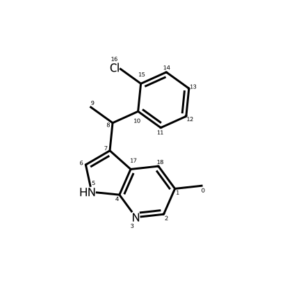 Cc1cnc2[nH]cc(C(C)c3ccccc3Cl)c2c1